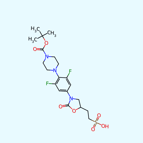 CC(C)(C)OC(=O)N1CCN(c2c(F)cc(N3CC(CCS(=O)(=O)O)OC3=O)cc2F)CC1